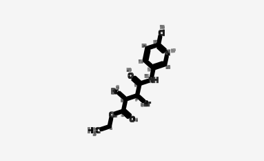 CCOC(=O)C(Br)C(Br)C(=O)Nc1ccc(Cl)nc1